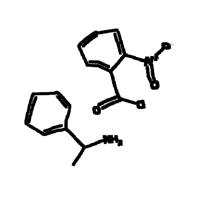 CC(N)c1ccccc1.O=C(Cl)c1ccccc1[N+](=O)[O-]